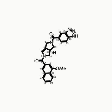 COc1cc(C(=O)N2C=C3CN(C(=O)c4ccc5[nH]nnc5c4)C[C@H]3C2)cc2ccccc12